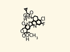 CC[C@@]1(O)C(=O)OCc2c1cc1n(c2=O)Cc2c-1nc1cc(F)c(Cl)c3c1c2[C@@H](NC(=O)C(O)C1CC1)CC3